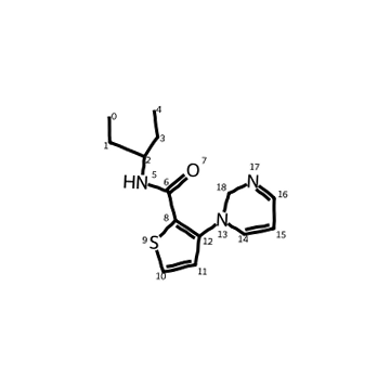 CCC(CC)NC(=O)c1sccc1N1C=CC=NC1